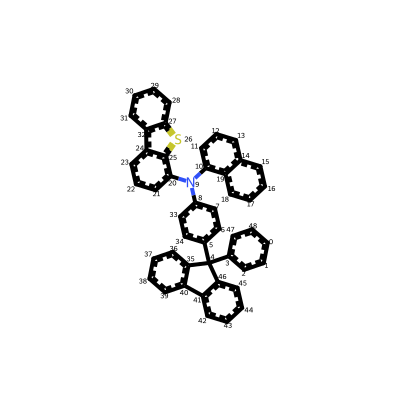 c1ccc(C2(c3ccc(N(c4cccc5ccccc45)c4cccc5c4sc4ccccc45)cc3)c3ccccc3-c3ccccc32)cc1